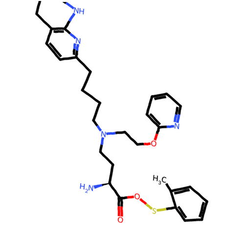 Cc1ccccc1SOC(=O)[C@@H](N)CCN(CCCCc1ccc2c(n1)NCCC2)CCOc1ccccn1